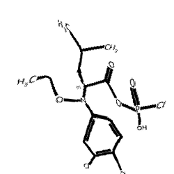 CCON(c1ccc(Cl)c(Cl)c1)[C@@H](CC(C)C)C(=O)OP(=O)(O)Cl